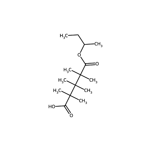 CCC(C)OC(=O)C(C)(C)C(C)(C)C(C)(C)C(=O)O